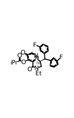 CCN1C[C@H](C(c2cccc(F)c2)c2cccc(F)c2)n2ncc(=O)c(OC(=O)C(C)C)c2C1=O